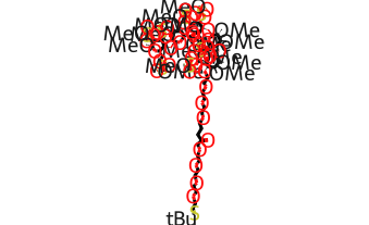 COC(=O)[C@H]1O[C@@H](O[C@H]2[C@H](OS(=O)(=O)OC)[C@@H](OS(=O)(=O)OC)[C@@H](O[C@H]3[C@H](OC)[C@@H](OC)[C@H](O[C@H]4[C@H](OS(=O)(=O)OC)[C@@H](OS(=O)(=O)OC)[C@@H](OC)O[C@@H]4COS(=O)(=O)OC)O[C@H]3C(=O)OC)O[C@@H]2COS(=O)(=O)OC)[C@H](OC)[C@@H](OC)[C@@H]1O[C@H]1O[C@H](COS(=O)(=O)OC)[C@@H](OCCOCCOCCOCCCC(=O)COCCOCCOCCOCCSC(C)(C)C)[C@H](OC)[C@H]1OC